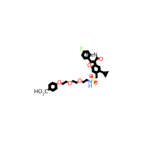 CNC(=O)c1c(-c2ccc(F)cc2)oc2cc(CS(=O)(=O)NCCOCCOCCOc3ccc(C(=O)O)cc3)c(C3CC3)cc12